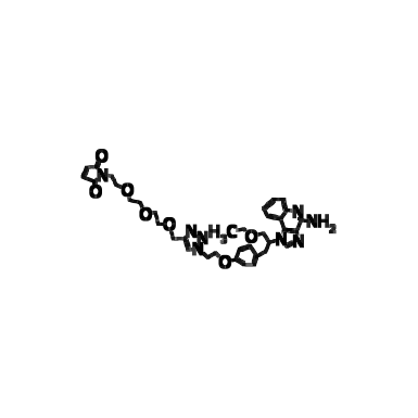 CCOCC(Cc1ccc(OCCn2cc(COCCOCCOCCN3C(=O)C=CC3=O)nn2)cc1)n1cnc2c(N)nc3ccccc3c21